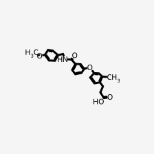 COc1ccc(CNC(=O)c2cccc(Oc3ccc(CCC(=O)O)c(C)c3)c2)cc1